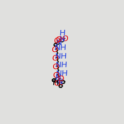 O=C(CCCCNC(=O)CCCCNC(=O)CN1Cc2ccccc2[C@@H]2OC(c3ccccc3)=N[C@]2(Cc2ccccc2)C1=O)NCCCCC(=O)Nc1cccc2c1CN(C1CCC(=O)NC1=O)C2=O